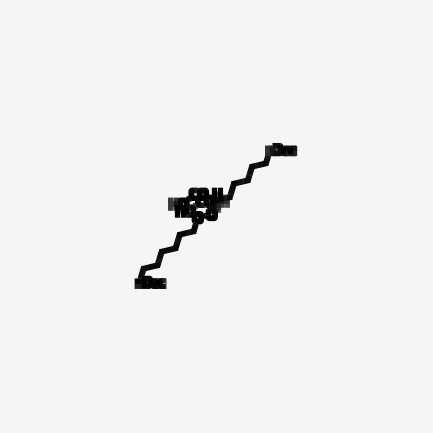 CCCCCCCCCCCCCCCCOOCCCCCCCCCCCCCCCC.O=C(O)O.O=C(O)O